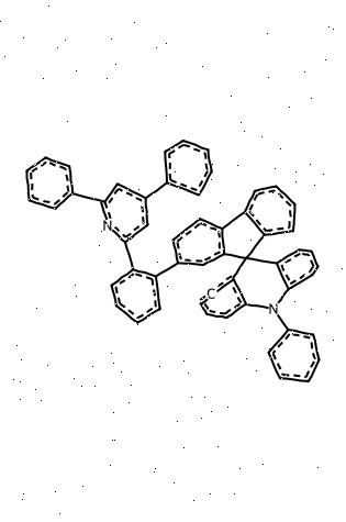 c1ccc(-c2cc(-c3ccccc3)nc(-c3ccccc3-c3ccc4c(c3)C3(c5ccccc5-4)c4ccccc4N(c4ccccc4)c4ccccc43)c2)cc1